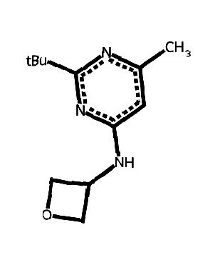 Cc1cc(NC2COC2)nc(C(C)(C)C)n1